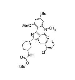 COc1cc(C(C)(C)C)cc2c1c1nc(N3CCC[C@@H](NC(=O)OC(C)(C)C)C3)n(Cc3ccccc3Cl)c1c(=O)n2C